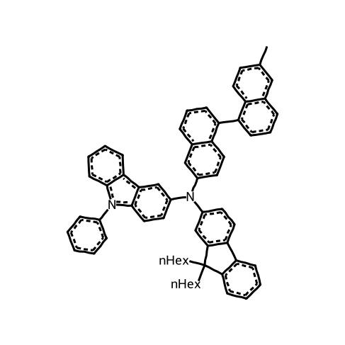 CCCCCCC1(CCCCCC)c2ccccc2-c2ccc(N(c3ccc4c(-c5cccc6cc(C)ccc56)cccc4c3)c3ccc4c(c3)c3ccccc3n4-c3ccccc3)cc21